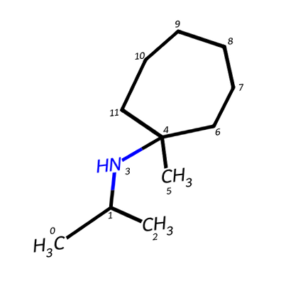 CC(C)NC1(C)CCCCCC1